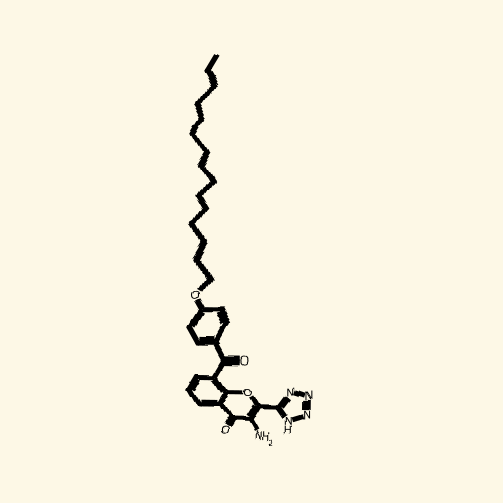 CCCCCCCCCCCCCCCOc1ccc(C(=O)c2cccc3c(=O)c(N)c(-c4nnn[nH]4)oc23)cc1